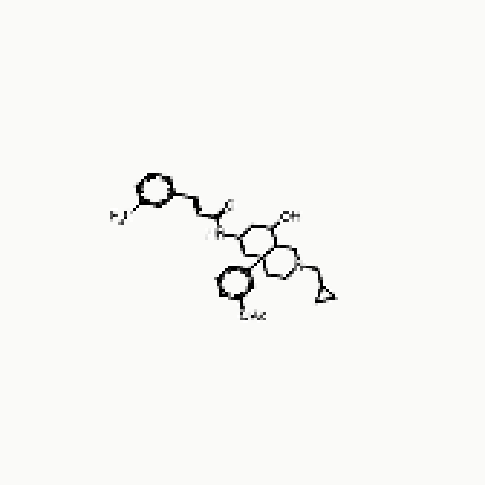 CC(=O)Oc1cccc(C23CCN(CC4CC4)CC2C(O)CC(NC(=O)/C=C/c2cccc(C(F)(F)F)c2)C3)c1